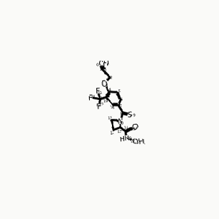 C#CCOc1ccc(C(=S)N2CCC2C(=O)NO)cc1C(F)(F)F